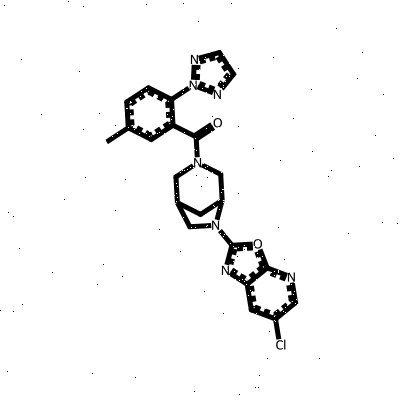 Cc1ccc(-n2nccn2)c(C(=O)N2CC3CC(C2)N(c2nc4cc(Cl)cnc4o2)C3)c1